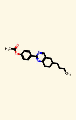 CCCCC1CCc2nc(-c3ccc(OC(C)=O)cc3)ncc2C1